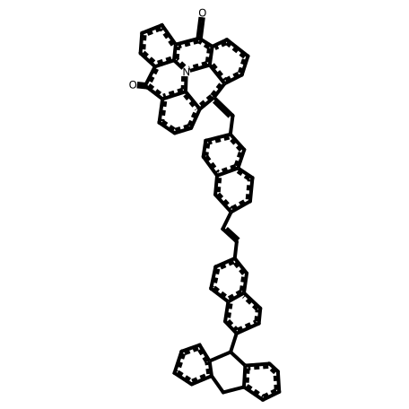 O=c1c2cccc3c(=O)c4cccc5c(=Cc6ccc7cc(/C=C/c8ccc9cc(C%10c%11ccccc%11Cc%11ccccc%11%10)ccc9c8)ccc7c6)c6cccc1c6n(c23)c45